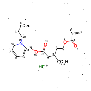 C=C(C)C(=O)OCCC(CC(=O)OCC1=CC=CCN1CCCCCCCCCCCC)C(=O)O.Cl